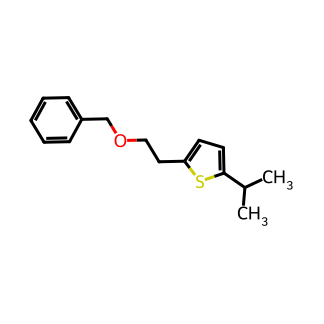 CC(C)c1ccc(CCOCc2ccccc2)s1